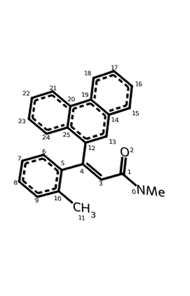 CNC(=O)/C=C(/c1ccccc1C)c1cc2ccccc2c2ccccc12